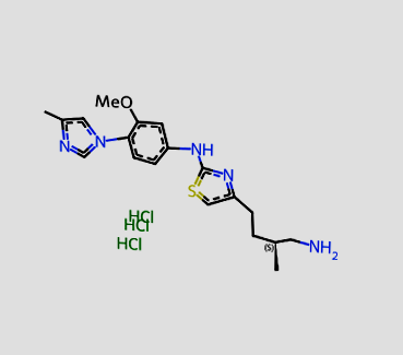 COc1cc(Nc2nc(CC[C@H](C)CN)cs2)ccc1-n1cnc(C)c1.Cl.Cl.Cl